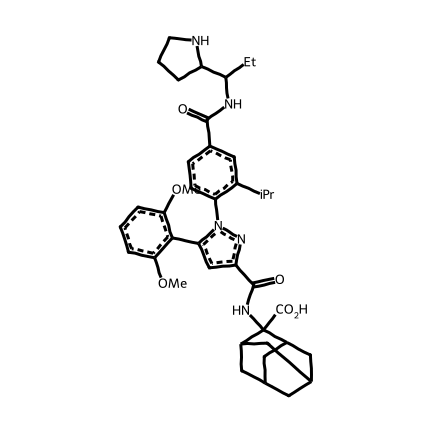 CCC(NC(=O)c1ccc(-n2nc(C(=O)NC3(C(=O)O)C4CC5CC(C4)CC3C5)cc2-c2c(OC)cccc2OC)c(C(C)C)c1)C1CCCN1